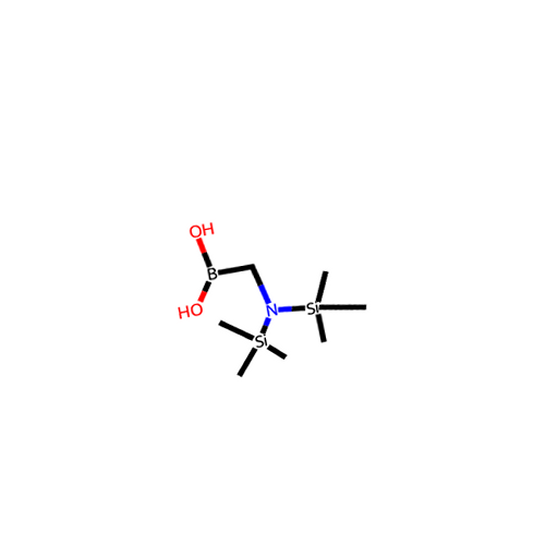 C[Si](C)(C)N(CB(O)O)[Si](C)(C)C